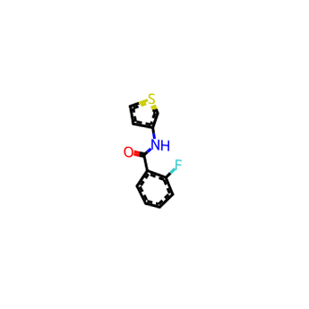 O=C(Nc1ccsc1)c1ccccc1F